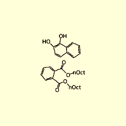 CCCCCCCCOC(=O)c1ccccc1C(=O)OCCCCCCCC.Oc1ccc2ccccc2c1O